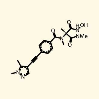 CNC(=O)[C@@](C)(C(=O)NO)N(C)C(=O)c1ccc(C#Cc2cnn(C)c2C)cc1